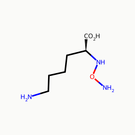 NCCCC[C@H](NON)C(=O)O